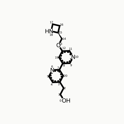 OCCc1ccnc(-c2cncc(OC[C@@H]3CCN3)c2)c1